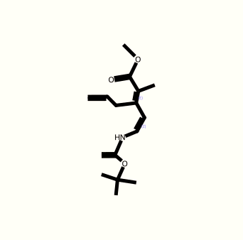 C=CCC(/C=C\NC(=C)OC(C)(C)C)=C(/C)C(=O)OC